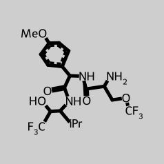 COc1ccc(C(NC(=O)C(N)COC(F)(F)F)C(=O)NC(C(C)C)C(O)C(F)(F)F)cc1